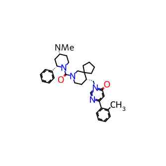 CN[C@@H]1CCN(C(=O)N2CC[C@@H](Cn3cnc(-c4ccccc4C)cc3=O)C3(CCCC3)C2)[C@H](c2ccccc2)C1